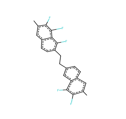 Cc1cc2ccc(CCc3ccc4cc(C)c(F)c(F)c4c3F)cc2c(F)c1F